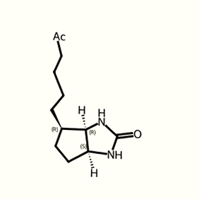 CC(=O)CCCC[C@@H]1CC[C@@H]2NC(=O)N[C@H]12